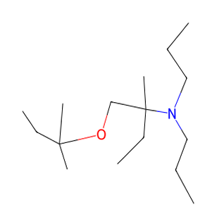 CCCN(CCC)C(C)(CC)COC(C)(C)CC